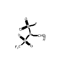 O=CN(S(=O)(=O)F)S(=O)(=O)C(F)(F)F.[LiH]